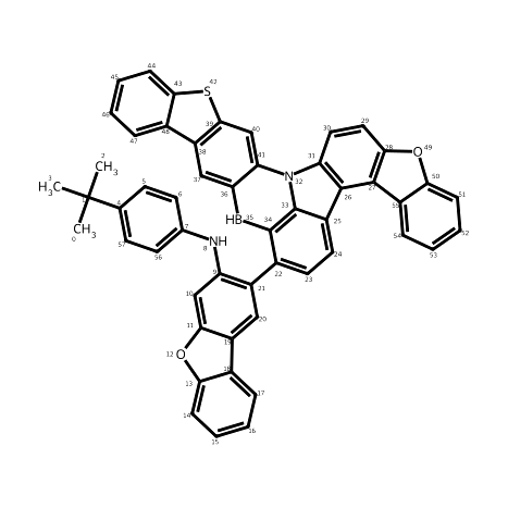 CC(C)(C)c1ccc(Nc2cc3oc4ccccc4c3cc2-c2ccc3c4c5c(ccc4n4c3c2Bc2cc3c(cc2-4)sc2ccccc23)oc2ccccc25)cc1